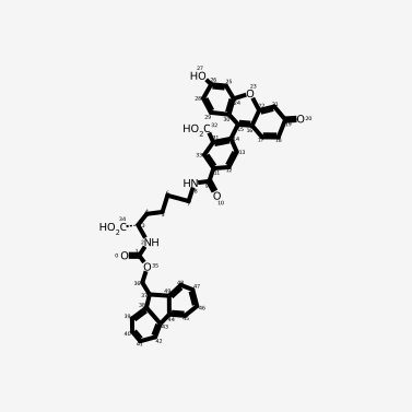 O=C(N[C@@H](CCCCNC(=O)c1ccc(-c2c3ccc(=O)cc-3oc3cc(O)ccc23)c(C(=O)O)c1)C(=O)O)OCC1c2ccccc2-c2ccccc21